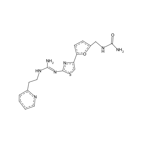 NC(=O)NCc1ccc(-c2csc(N=C(N)NCCc3ccccn3)n2)o1